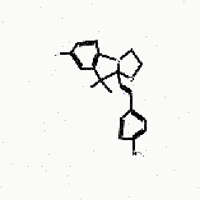 CC1(C)c2cc(Cl)ccc2N2CCOC21/C=C/c1ccc([N+](=O)[O-])cc1